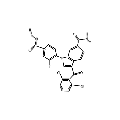 CCOC(=O)c1ccc(-n2cc(C(=O)c3c(Cl)cccc3Cl)c3ccc(C(=O)N(C)C)cc32)c(F)c1